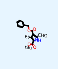 CCc1c(C(=O)OC(C)(C)C)[nH]c(C=O)c1C(=O)OCc1ccccc1